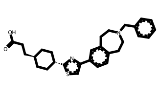 O=C(O)CC[C@H]1CC[C@H](c2nc(-c3ccc4c(c3)CCN(Cc3ccccc3)CC4)cs2)CC1